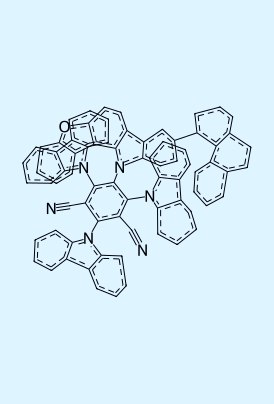 N#Cc1c(-n2c3ccccc3c3ccccc32)c(C#N)c(-n2c3ccccc3c3ccccc32)c(-n2c3ccc(-c4cccc5ccc6ccccc6c45)cc3c3ccc4oc5ccccc5c4c32)c1-n1c2ccccc2c2ccccc21